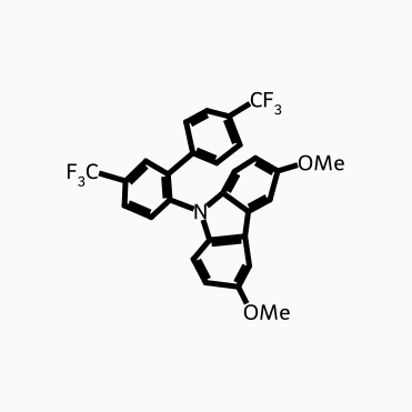 COc1ccc2c(c1)c1cc(OC)ccc1n2-c1ccc(C(F)(F)F)cc1-c1ccc(C(F)(F)F)cc1